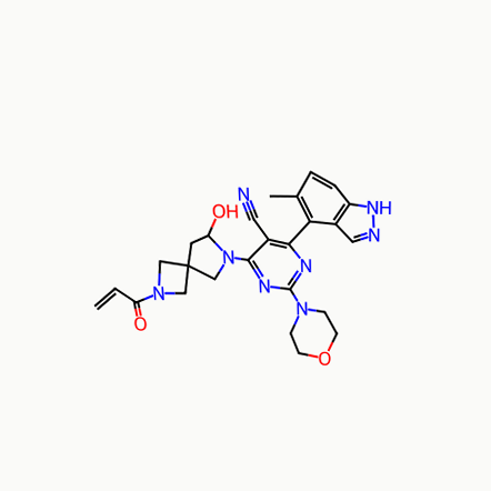 C=CC(=O)N1CC2(CC(O)N(c3nc(N4CCOCC4)nc(-c4c(C)ccc5[nH]ncc45)c3C#N)C2)C1